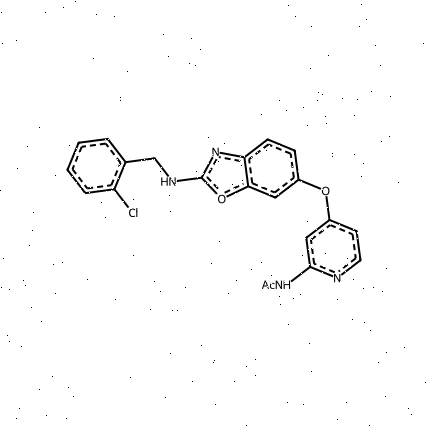 CC(=O)Nc1cc(Oc2ccc3nc(NCc4ccccc4Cl)oc3c2)ccn1